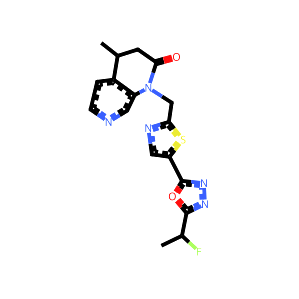 CC(F)c1nnc(-c2cnc(CN3C(=O)CC(C)c4ccncc43)s2)o1